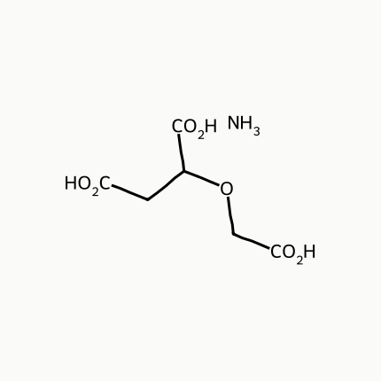 N.O=C(O)COC(CC(=O)O)C(=O)O